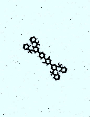 Cc1cc(-c2cc3c4c(c2)C(C)(C)c2ccccc2N4c2ccccc2C3(C)C)cc(C)c1-c1ccc(-c2cc3c4c(c2)C(C)(C)c2ccccc2N4c2ccccc2C3(C)C)cc1